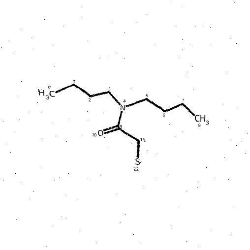 CCCCN(CCCC)C(=O)C[S]